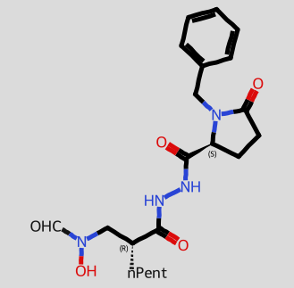 CCCCC[C@H](CN(O)C=O)C(=O)NNC(=O)[C@@H]1CCC(=O)N1Cc1ccccc1